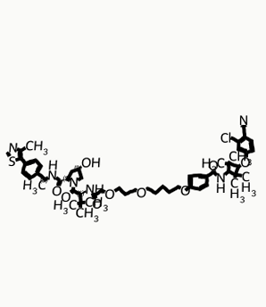 Cc1ncsc1-c1ccc([C@H](C)NC(=O)[C@@H]2C[C@@H](O)CN2C(=O)[C@@H](NC(=O)COCCCOCCCCCOc2ccc(C(=O)NC3C(C)(C)C(Oc4ccc(C#N)c(Cl)c4)C3(C)C)cc2)C(C)(C)C)cc1